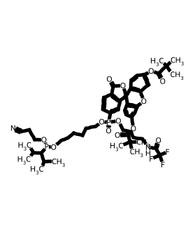 CC(C)C(C(C)C)P(OCCC#N)OCCCCCCOP(=O)(OCCCCNC(=O)C(F)(F)F)c1ccc2c(c1)C1(OC2=O)c2ccc(OC(=O)C(C)(C)C)cc2Oc2cc(OC(=O)C(C)(C)C)ccc21